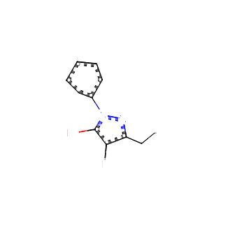 CCc1c(CC(C)C)nn(-c2ccccc2)c1O